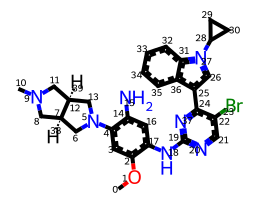 COc1cc(N2C[C@H]3CN(C)C[C@H]3C2)c(N)cc1Nc1ncc(Br)c(-c2cn(C3CC3)c3ccccc23)n1